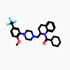 COc1ccc(C(F)(F)F)cc1N1CCN(CC2CCc3ccccc3N2C(=O)C2CCCCC2)CC1